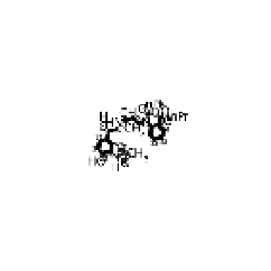 CCCOC1(OCCC)OC(=O)N(CCC(C)(C)NCC(O)c2ccc(O)c(NS(C)(=O)=O)c2)c2ccccc21